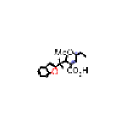 C=C(/C(=C\C(=C/C)OC)C(=O)O)C(C)(C)c1cc2ccccc2o1